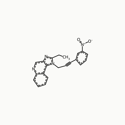 CCc1nc2cnc3ccccc3c2n1CC#Cc1cccc([N+](=O)[O-])c1